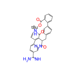 CC(C)(C)OC(=O)c1ccccc1-c1ccc(CC(C(N)=O)c2c(-c3ccc(C(=N)N)cc3)cc[nH]c2=O)cc1